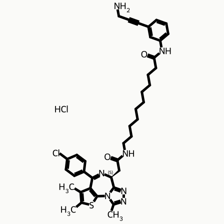 Cc1sc2c(c1C)C(c1ccc(Cl)cc1)=N[C@@H](CC(=O)NCCCCCCCCCCC(=O)Nc1cccc(C#CCN)c1)c1nnc(C)n1-2.Cl